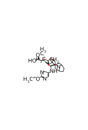 C=C(/C=C\C)C1CC2CCC(C1)N2c1ccc([C@@H](CC)CC(=O)O)cc1Nc1cnc(OCC)nc1